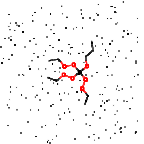 CCCO[Si](OOCC)(OOCC)OOCC